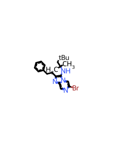 CC(C)(C)CC(C)(C)Nc1c(CCc2ccccc2)nc2cnc(Br)cn12